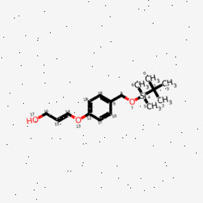 CC(C)(C)[Si](C)(C)OCc1ccc(OC=CCO)cc1